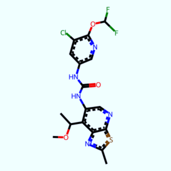 COC(C)c1c(NC(=O)Nc2cnc(OC(F)F)c(Cl)c2)cnc2sc(C)nc12